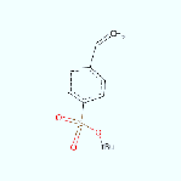 C=Cc1ccc(S(=O)(=O)OC(C)(C)C)cc1